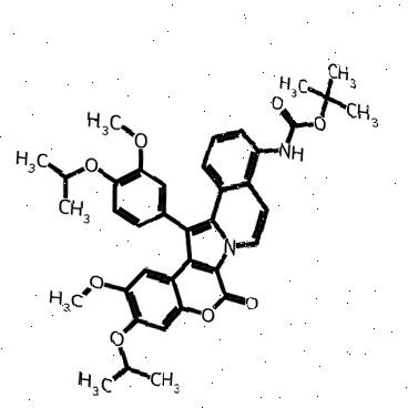 COc1cc(-c2c3c4cc(OC)c(OC(C)C)cc4oc(=O)c3n3ccc4c(NC(=O)OC(C)(C)C)cccc4c23)ccc1OC(C)C